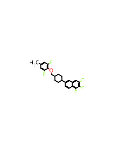 Cc1cc(F)c(OCC2CCC(c3ccc4c(F)c(F)c(F)cc4c3)CC2)c(F)c1